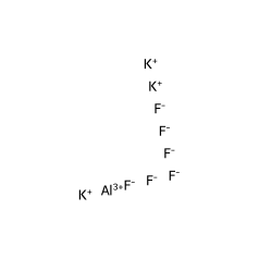 [Al+3].[F-].[F-].[F-].[F-].[F-].[F-].[K+].[K+].[K+]